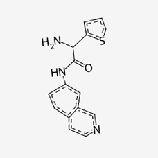 NC(C(=O)Nc1ccc2ccncc2c1)c1cccs1